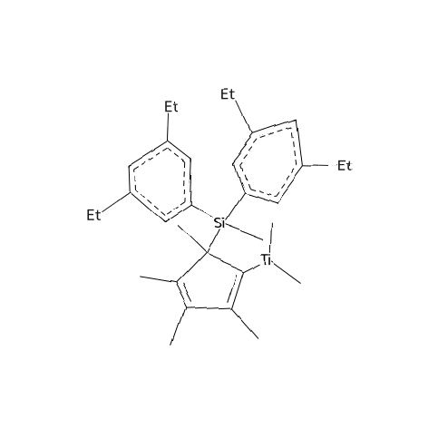 CCc1cc(CC)cc([Si](C)(c2cc(CC)cc(CC)c2)C2(C)C(C)=C(C)C(C)=[C]2[Ti]([CH3])[CH3])c1